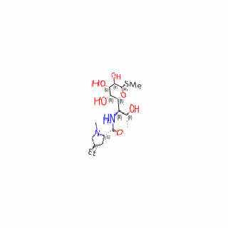 CC[C@@H]1C[C@@H](C(=O)N[C@@H]([C@H]2O[C@H](SC)[C@H](O)[C@@H](O)[C@H]2O)[C@@H](C)O)N(C)C1